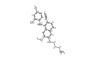 COc1cc2c(Nc3ccc(Cl)cc3Cl)c(C#N)cnc2cc1OCCCN